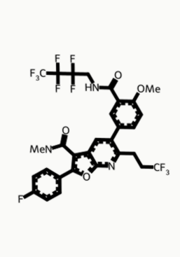 CNC(=O)c1c(-c2ccc(F)cc2)oc2nc(CCC(F)(F)F)c(-c3ccc(OC)c(C(=O)NCC(F)(F)C(F)(F)C(F)(F)F)c3)cc12